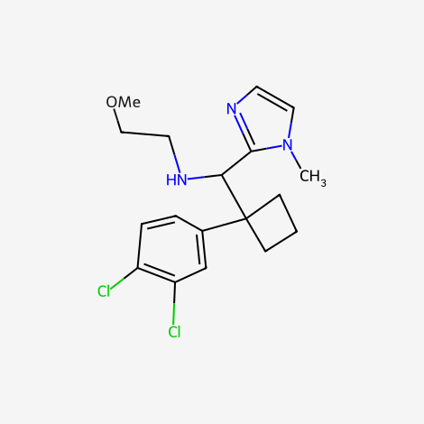 COCCNC(c1nccn1C)C1(c2ccc(Cl)c(Cl)c2)CCC1